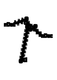 CCCCCCCCCCCCCCCC(=O)OCC(COC(=O)CCCCCCCCCCCCCCC)OC(=O)CCCCCCCCCCCCCCCC(=O)Cl